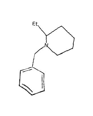 CCC1CCCCN1Cc1ccccc1